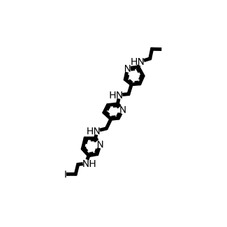 CCCNc1ccc(CNc2ccc(CNc3ccc(NCCI)cn3)cn2)cn1